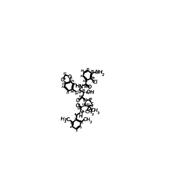 Cc1cccc(C)c1CNC(=O)[C@H]1N(C(=O)[C@@H](O)[C@H](Cc2ccc3c(c2)OCO3)NC(=O)c2cccc(N)c2Cl)CSC1(C)C